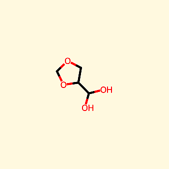 OC(O)C1COCO1